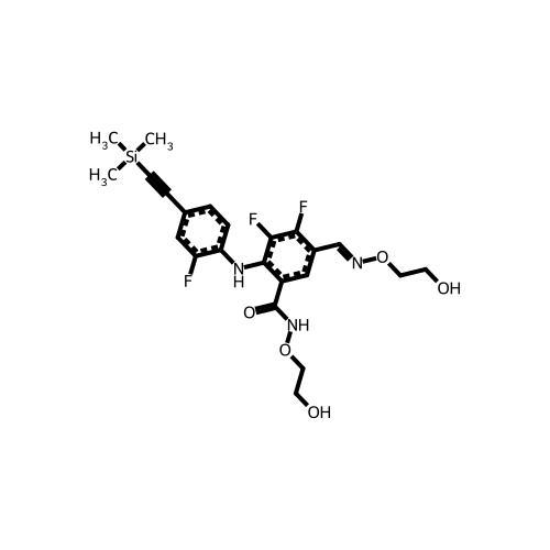 C[Si](C)(C)C#Cc1ccc(Nc2c(C(=O)NOCCO)cc(C=NOCCO)c(F)c2F)c(F)c1